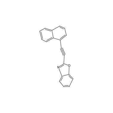 C(#Cc1cccc2ccccc12)c1nc2ccccc2o1